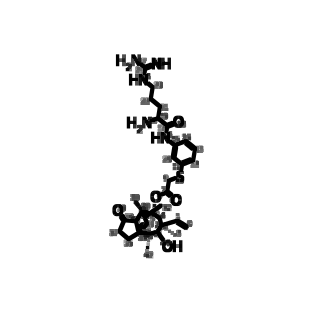 C=C[C@]1(C)C[C@@H](OC(=O)CSc2cccc(NC(=O)C(N)CCCNC(=N)N)c2)[C@]2(C)C(C)CCC3(CCC(=O)C32)[C@@H](C)C1O